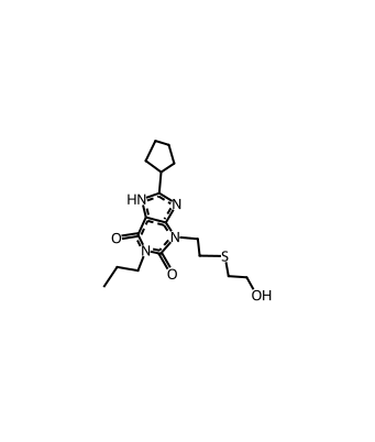 CCCn1c(=O)c2[nH]c(C3CCCC3)nc2n(CCSCCO)c1=O